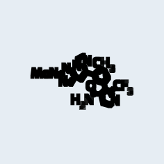 CNc1ncc2c(n1)N1CCN=C1C(c1cc(-c3c(C(N)=O)ccnc3C(F)(F)F)ccc1C)=C2